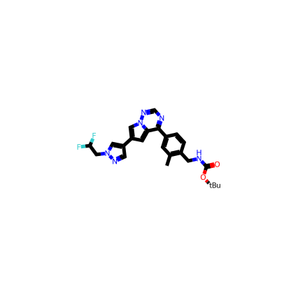 Cc1cc(-c2ncnn3cc(-c4cnn(CC(F)F)c4)cc23)ccc1CNC(=O)OC(C)(C)C